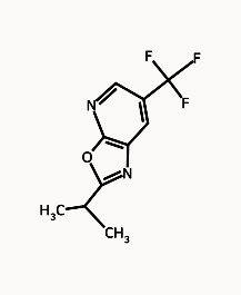 CC(C)c1nc2cc(C(F)(F)F)cnc2o1